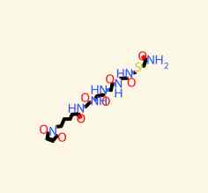 NC(=O)CSCNC(=O)CNC(=O)CNC(=O)CNC(=O)CNC(=O)CCCCCN1C(=O)C=CC1=O